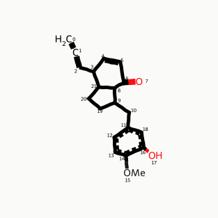 C=C=CC1C=CC(=O)C2C(Cc3ccc(OC)c(O)c3)CCC12